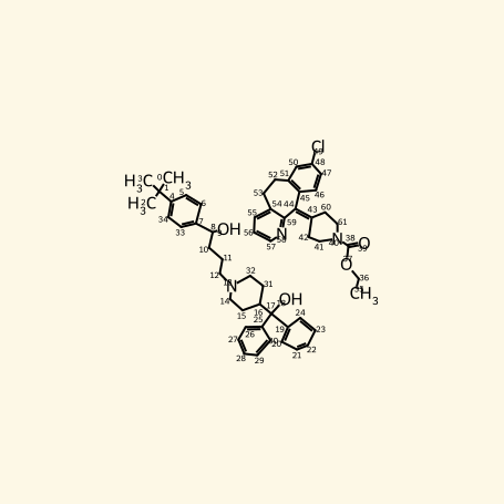 CC(C)(C)c1ccc(C(O)CCCN2CCC(C(O)(c3ccccc3)c3ccccc3)CC2)cc1.CCOC(=O)N1CCC(=C2c3ccc(Cl)cc3CCc3cccnc32)CC1